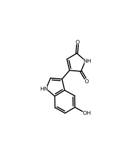 O=C1C=C(c2c[nH]c3ccc(O)cc23)C(=O)N1